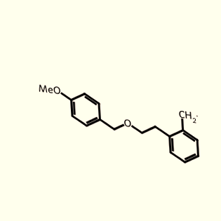 [CH2]c1ccccc1CCOCc1ccc(OC)cc1